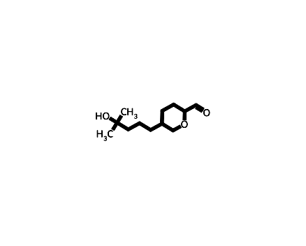 CC(C)(O)CCCC1CCC(C=O)OC1